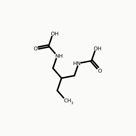 CCC(CNC(=O)O)CNC(=O)O